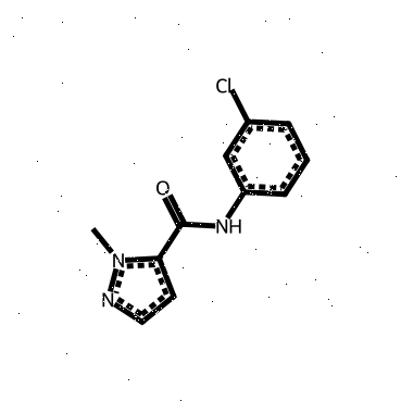 Cn1nccc1C(=O)Nc1cccc(Cl)c1